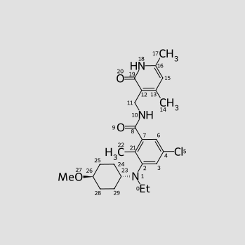 CCN(c1cc(Cl)cc(C(=O)NCc2c(C)cc(C)[nH]c2=O)c1C)[C@H]1CC[C@H](OC)CC1